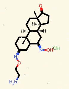 C[C@]12CC/C(=N/OCCN)CC1/C(=N/O)C[C@@H]1[C@@H]2CC[C@]2(C)C(=O)CC[C@@H]12.Cl